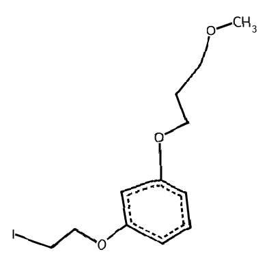 COCCCOc1cccc(OCCI)c1